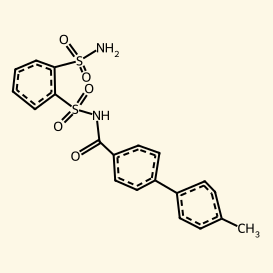 Cc1ccc(-c2ccc(C(=O)NS(=O)(=O)c3ccccc3S(N)(=O)=O)cc2)cc1